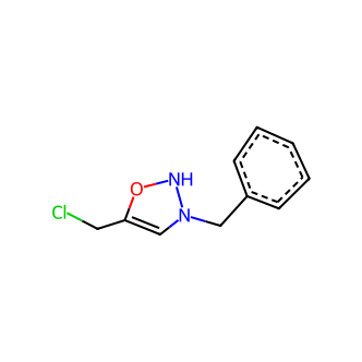 ClCC1=CN(Cc2ccccc2)NO1